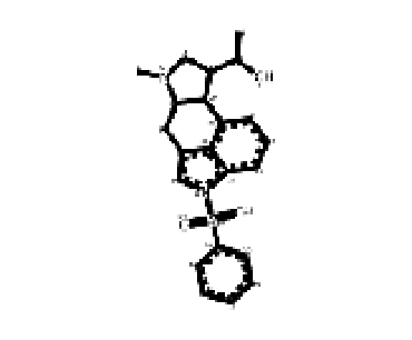 CC(O)C1CN(C)C2Cc3cn(S(=O)(=O)c4ccccc4)c4cccc(c34)C12